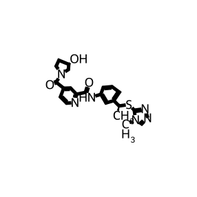 C[C@H](Sc1nncn1C)c1cccc(NC(=O)c2cc(C(=O)N3CC[C@@H](O)C3)ccn2)c1